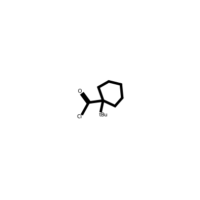 CC(C)(C)C1(C(=O)Cl)CCCCC1